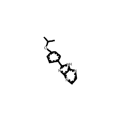 CC(C)Oc1ccc(-c2nc3nccnc3[nH]2)cc1